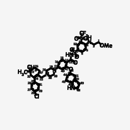 COCCNc1ccc(S(=O)(=O)NC(=O)c2ccc(N3CCN(CC4=C(c5ccc(Cl)cc5)CC(C)(C)CC4)CC3)cc2Oc2ccc3[nH]ccc3c2)cc1S(=O)(=O)C(F)(F)F